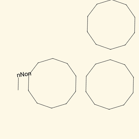 C1CCCCCCCCC1.C1CCCCCCCCC1.C1CCCCCCCCC1.CCCCCCCCCC